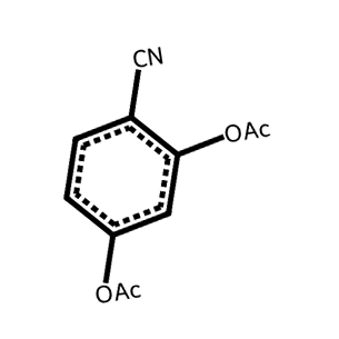 CC(=O)Oc1ccc(C#N)c(OC(C)=O)c1